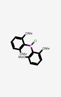 COc1cccc(OC)c1P(Cl)c1c(OC)cccc1OC